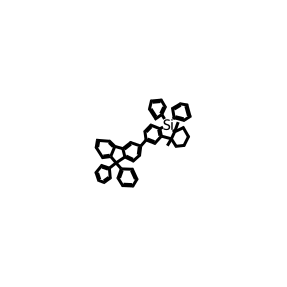 CC12CCCCC1(C)[Si](c1ccccc1)(c1ccccc1)c1ccc(-c3ccc4c(c3)-c3ccccc3C4(c3ccccc3)c3ccccc3)cc12